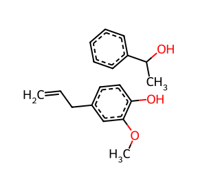 C=CCc1ccc(O)c(OC)c1.CC(O)c1ccccc1